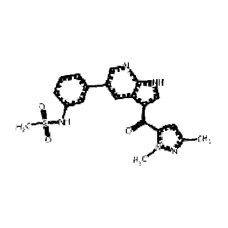 Cc1cc(C(=O)c2c[nH]c3ncc(-c4cccc(NS(C)(=O)=O)c4)cc23)n(C)n1